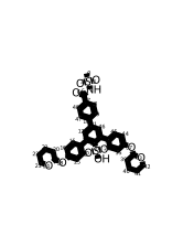 CS(=O)(=O)NC(=O)c1ccc(-c2cc(-c3ccc(OC4CCCCO4)cc3)c(S(=O)(=O)O)c(-c3ccc(OC4CCCCO4)cc3)c2)cc1